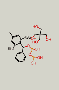 Cc1cc(C(C)(C)C)c(C(OP(O)OP(O)O)c2ccccc2)c(C(C)(C)C)c1.OCC(CO)(CO)CO